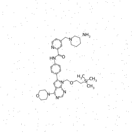 C[Si](C)(C)CCOCn1c(-c2ccc(NC(=O)c3cc(CN4CCC[C@@H](N)C4)ccn3)cc2)cc2c(N3CCOCC3)ncnc21